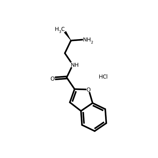 C[C@@H](N)CNC(=O)c1cc2ccccc2o1.Cl